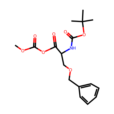 COC(=O)OC(=O)C(COCc1ccccc1)NC(=O)OC(C)(C)C